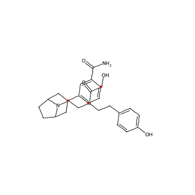 NC(=O)c1cccc(C2CC3CCC(C2)N3CCN(CCc2ccc(O)cc2)C(=O)CO)c1